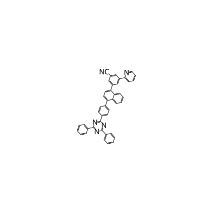 N#Cc1cc(-c2ccccn2)cc(-c2ccc(-c3ccc(-c4nc(-c5ccccc5)nc(-c5ccccc5)n4)cc3)c3ccccc23)c1